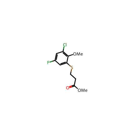 COC(=O)CCSc1cc(F)cc(Cl)c1OC